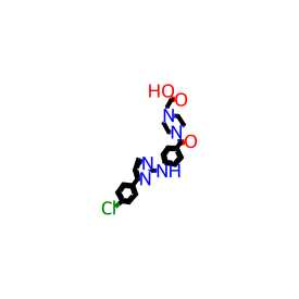 O=C(O)CN1CCN(C(=O)c2ccc(Nc3nccc(-c4ccc(Cl)cc4)n3)cc2)CC1